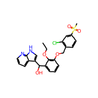 CCOc1c(OCc2ccc(S(C)(=O)=O)cc2Cl)cccc1C(O)c1c[nH]c2ncccc12